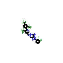 Fc1cccc(-c2nc3c([nH]2)C=NN(Cc2cnc(-c4ccc(C(F)(F)F)cc4C(F)(F)F)c(C(F)(F)F)c2)C3)c1F